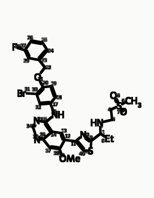 CCC(NCCS(C)(=O)=O)c1nc(-c2cc3c(Nc4ccc(OCc5cccc(F)c5)c(Br)c4)ncnc3cc2OC)cs1